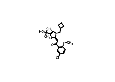 COc1ccc(Cl)cc1C(=O)C=C1SC(C(C)(C)O)=CN1CC1CCC1